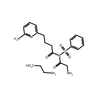 NCC(=O)N(C(=O)CCCc1cccc(N)n1)S(=O)(=O)c1ccccc1.NCCC(=O)O